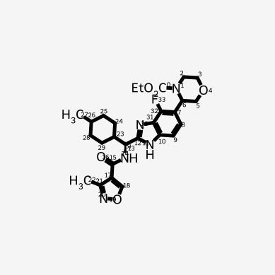 CCOC(=O)N1CCOCC1c1ccc2[nH]c([C@@H](NC(=O)c3conc3C)C3CCC(C)CC3)nc2c1F